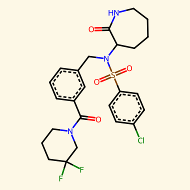 O=C1NCCCCC1N(Cc1cccc(C(=O)N2CCCC(F)(F)C2)c1)S(=O)(=O)c1ccc(Cl)cc1